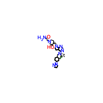 CCN(Cc1ccc(-n2cccn2)cc1F)c1ncnc2c1ccn2C[C@@H]1CCN(CC(N)=O)C[C@H]1O